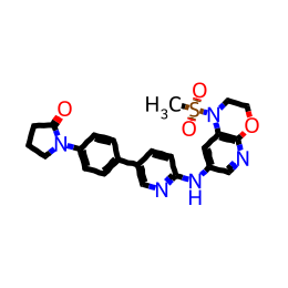 CS(=O)(=O)N1CCOc2ncc(Nc3ccc(-c4ccc(N5CCCC5=O)cc4)cn3)cc21